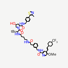 COc1cnc(C(=O)NCc2cccc(CC(=O)NCCCCC(=O)NC(C(=O)N3CC(O)CC3C(=O)NCc3ccc(-c4scnc4C)cc3)C(C)(C)C)c2)cc1C=CC1CCC(C(F)(F)F)CC1